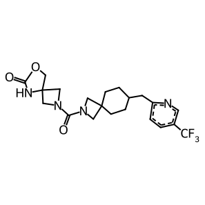 O=C1NC2(CO1)CN(C(=O)N1CC3(CCC(Cc4ccc(C(F)(F)F)cn4)CC3)C1)C2